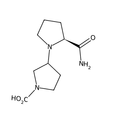 NC(=O)[C@@H]1CCCN1C1CCN(C(=O)O)C1